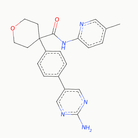 Cc1ccc(NC(=O)C2(c3ccc(-c4cnc(N)nc4)cc3)CCOCC2)nc1